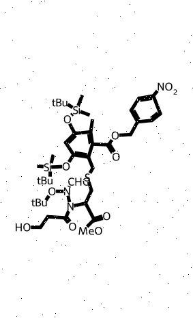 COC(=O)C(CSCc1c(O[Si](C)(C)C(C)(C)C)cc(O[Si](C)(C)C(C)(C)C)c(C)c1C(=O)OCc1ccc([N+](=O)[O-])cc1)N(C(=O)CCO)N(C=O)OC(C)(C)C